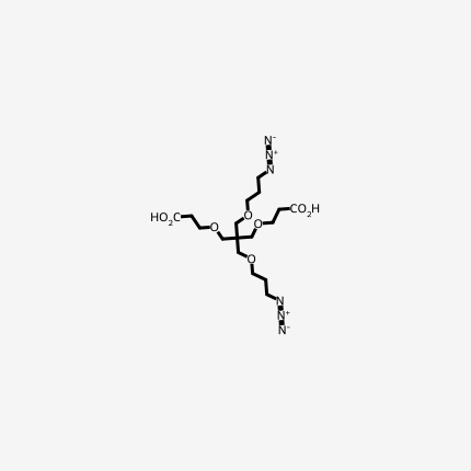 [N-]=[N+]=NCCCOCC(COCCCN=[N+]=[N-])(COCCC(=O)O)COCCC(=O)O